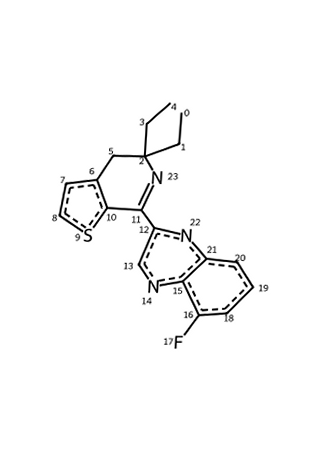 CCC1(CC)Cc2ccsc2C(c2cnc3c(F)cccc3n2)=N1